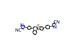 N#Cc1cncc(-c2ccc(-c3ccc4c(c3)sc3cc(-c5ccc(-c6cncc(C#N)c6)cc5)c5ccccc5c34)cc2)c1